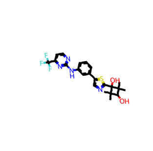 CC1(C)C(O)C(C)(C)C1(O)c1ncc(-c2cccc(Nc3nccc(C(F)(F)F)n3)c2)s1